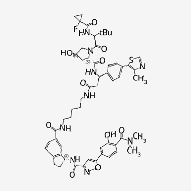 Cc1ncsc1-c1ccc(C(CC(=O)NCCCCCNC(=O)c2ccc3c(c2)[C@H](NC(=O)c2cc(-c4ccc(C(=O)N(C)C)c(O)c4)on2)CC3)NC(=O)[C@@H]2C[C@@H](O)CN2C(=O)C(NC(=O)C2(F)CC2)C(C)(C)C)cc1